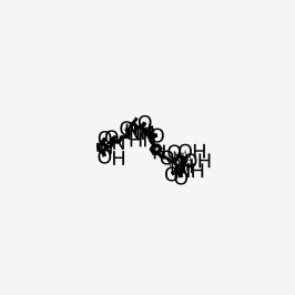 CC(C)C(NC(=O)CCNC(=O)CN1C(=O)C=CC1=O)C(=O)N[C@@H](C)C(=O)Nc1ccc(COC[C@@H]2[C@@H](O)[C@H](O)[C@H](O)[C@H]3NC(=O)C(=O)N23)cc1